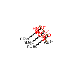 CCCCCCCCCCCCCCCCOC(=S)C(O)CC([O-])=S.CCCCCCCCCCCCCCCCOC(=S)C(O)CC([O-])=S.CCCCCCCCCCCCCCCCOC(=S)C(O)CC([O-])=S.[Au+3]